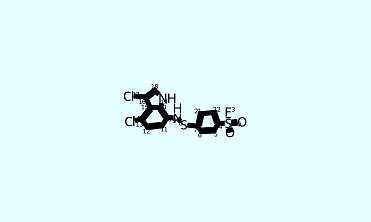 O=S(=O)(F)c1ccc(SNc2ccc(Cl)c3c(Cl)c[nH]c23)cc1